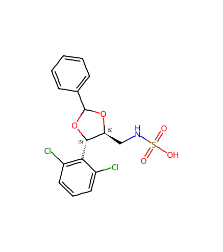 O=S(=O)(O)NC[C@@H]1OC(c2ccccc2)O[C@H]1c1c(Cl)cccc1Cl